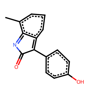 Cc1cccc2c1=NC(=O)C=2c1ccc(O)cc1